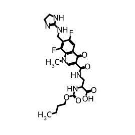 CCCCOC(=O)NC(CNC(=O)c1cn(C)c2c(F)c(CNC3=NCCN3)c(F)cc2c1=O)C(=O)O